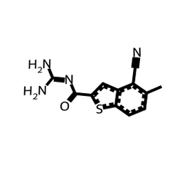 Cc1ccc2sc(C(=O)N=C(N)N)cc2c1C#N